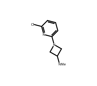 CNC1CN(c2cccc(Cl)n2)C1